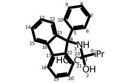 CC(C)C(O)(NC1(c2ccccc2)c2ccccc2-c2ccccc21)C(=O)O